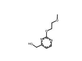 COCCOc1nccc(CO)n1